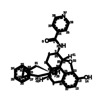 O=C(N[C@@H]1CC[C@@]2(O)[C@H]3Cc4ccc(O)c5c4C2(CC[N@+]3(Cc2ccccc2)CC2CC2)[C@H]1O5)c1ccncc1